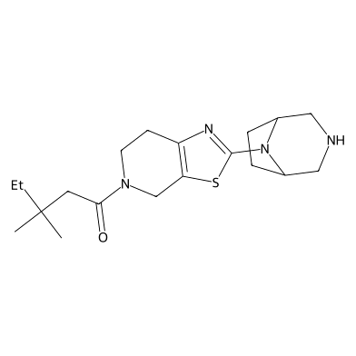 CCC(C)(C)CC(=O)N1CCc2nc(N3C4CCC3CNC4)sc2C1